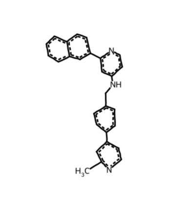 Cc1cc(-c2ccc(CNc3ccnc(-c4ccc5ccccc5c4)c3)cc2)ccn1